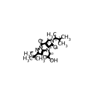 CC(C)[C@H](C)N1Cc2c(n(CC(=O)O)c3cc(C(C)(C)C)nn3c2=O)C1=O